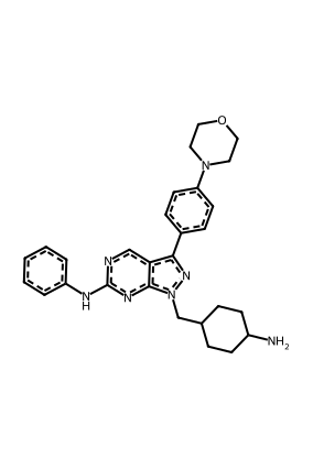 NC1CCC(Cn2nc(-c3ccc(N4CCOCC4)cc3)c3cnc(Nc4ccccc4)nc32)CC1